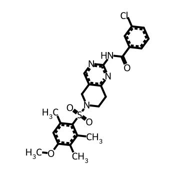 COc1cc(C)c(S(=O)(=O)N2CCc3nc(NC(=O)c4cccc(Cl)c4)ncc3C2)c(C)c1C